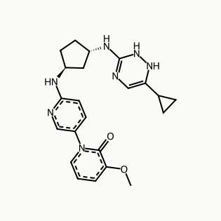 COc1cccn(-c2ccc(N[C@H]3CC[C@H](NC4=NC=C(C5CC5)NN4)C3)nc2)c1=O